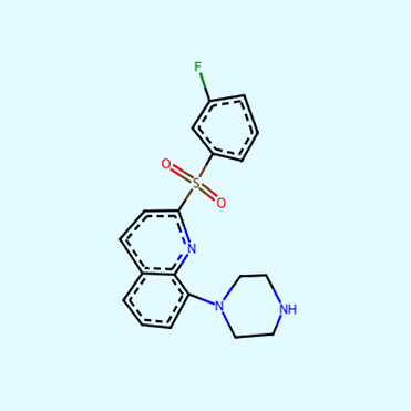 O=S(=O)(c1cccc(F)c1)c1ccc2cccc(N3CCNCC3)c2n1